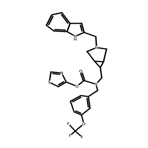 O=C(Oc1cscn1)N(Cc1cccc(OC(F)(F)F)c1)CC1C2CN(Cc3cc4ccccc4[nH]3)CC21